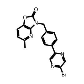 Cc1ccc2oc(=O)n(Cc3ccc(-c4cnc(Br)cn4)cc3)c2n1